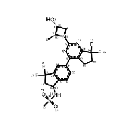 C[C@H]1[C@H](O)CN1c1nc(-c2ccc3c(c2)C(F)(F)C[C@@H]3NS(C)(=O)=O)c2c(n1)C(F)(F)CC2